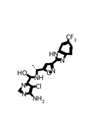 C[C@@H](NC(O)c1ncnc(N)c1Cl)c1cc(-c2nc3ccc(C(F)(F)F)cc3[nH]2)no1